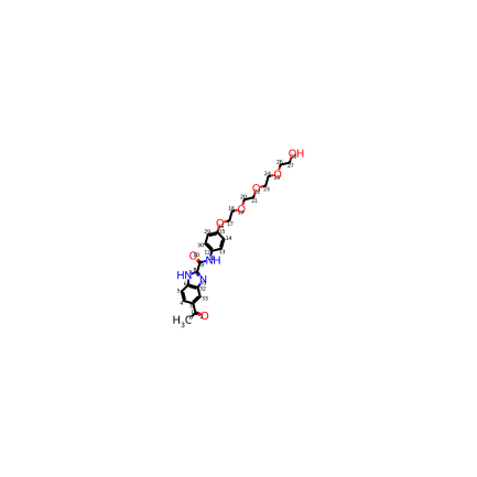 CC(=O)c1ccc2[nH]c(C(=O)Nc3ccc(OCCOCCOCCOCCO)cc3)nc2c1